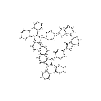 c1ccc(-c2c(-c3ccccc3)n(-c3ccc(-c4cn5ccccc5n4)cc3)c3c2ccc2c4ccc5c(-c6ccccc6)c(-c6ccccc6)n(-c6ccc(-c7cn8ccccc8n7)cc6)c5c4ccc23)cc1